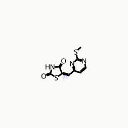 CSc1nccc(/C=C2/SC(=O)NC2=O)n1